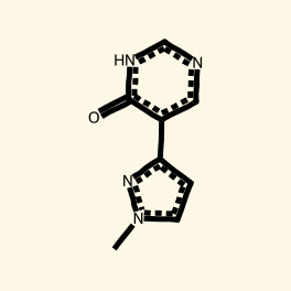 Cn1ccc(-c2cnc[nH]c2=O)n1